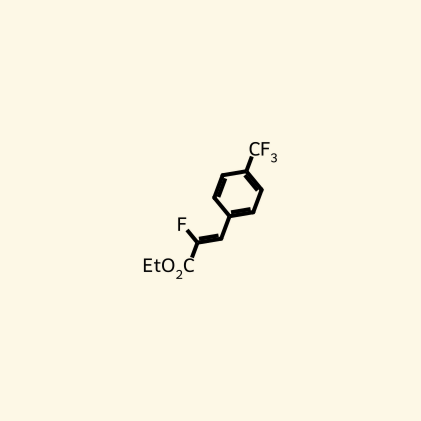 CCOC(=O)C(F)=Cc1ccc(C(F)(F)F)cc1